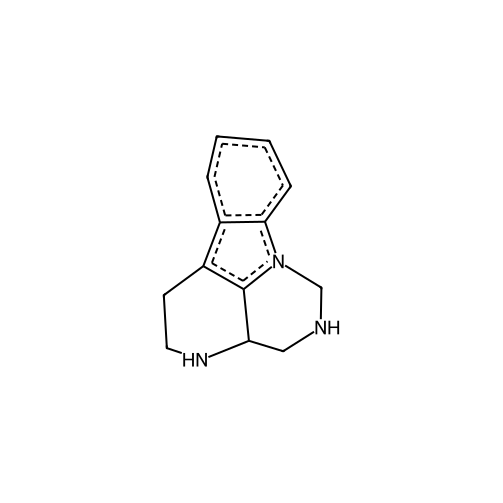 c1ccc2c(c1)c1c3n2CNCC3NCC1